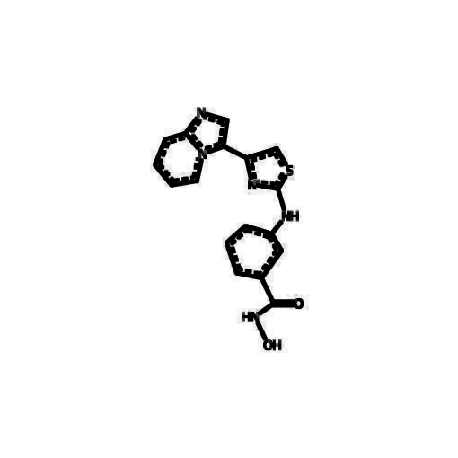 O=C(NO)c1cccc(Nc2nc(-c3cnc4ccccn34)cs2)c1